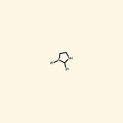 CC(C)C1NCCN1C(C)C